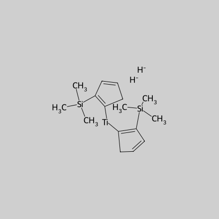 C[Si](C)(C)C1=[C]([Ti][C]2=C([Si](C)(C)C)C=CC2)CC=C1.[H-].[H-]